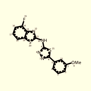 COc1cccc(-c2nnc(Nc3nc4c(F)cccc4s3)s2)c1